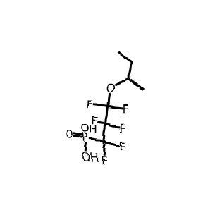 CCC(C)OC(F)(F)C(F)(F)C(F)(F)P(=O)(O)O